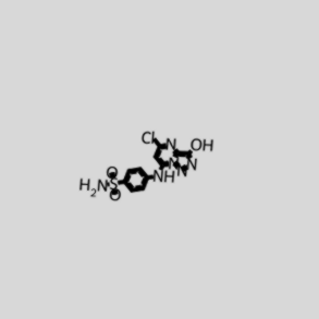 NS(=O)(=O)c1ccc(Nc2cc(Cl)nc3c(O)nnn23)cc1